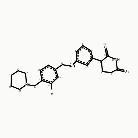 O=C1CCC(c2cccc(NCc3ccc(CN4CCCCC4)c(F)c3)c2)C(=O)N1